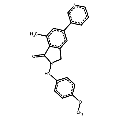 Cc1cc(-c2cccnc2)cc2c1C(=O)N(Nc1ccc(OC(F)(F)F)cc1)C2